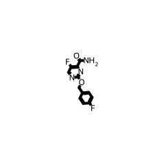 NC(=O)c1nc(OCc2ccc(F)cc2)ncc1F